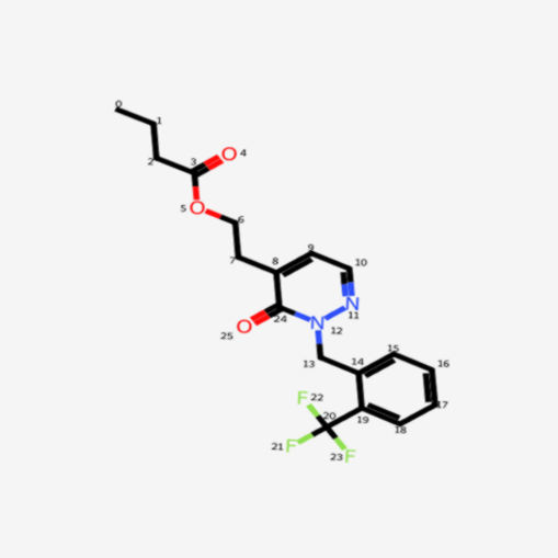 CCCC(=O)OCCc1ccnn(Cc2ccccc2C(F)(F)F)c1=O